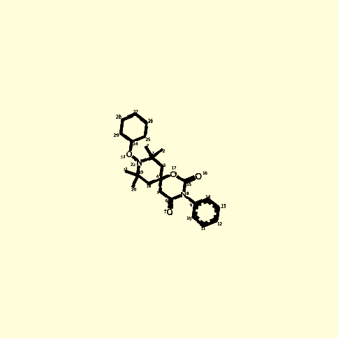 CC1(C)CC2(CC(=O)N(c3ccccc3)C(=O)O2)CC(C)(C)N1OC1CCCCC1